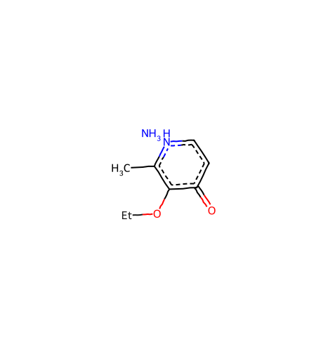 CCOc1c(C)[nH]ccc1=O.N